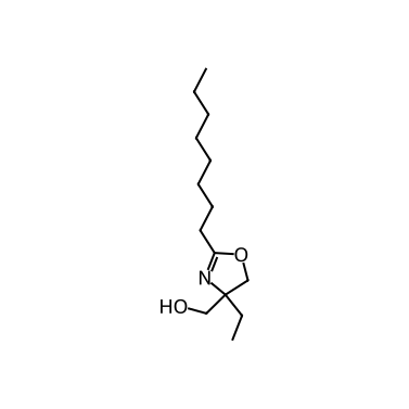 CCCCCCCCC1=NC(CC)(CO)CO1